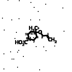 C=CCOC1(C)CCN(C(=O)O)CC1